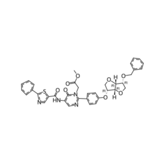 COC(=O)Cn1c(-c2ccc(O[C@@H]3CO[C@H]4[C@@H]3OC[C@H]4OCc3ccccc3)cc2)ncc(NC(=O)c2cnc(-c3ccccc3)s2)c1=O